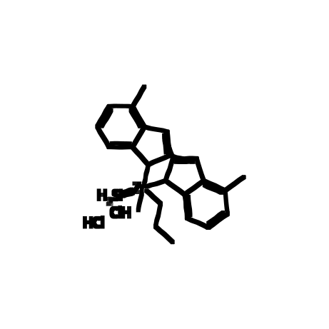 CC[CH2][Zr]([CH3])(=[SiH2])([CH]1C(C)=Cc2c(C)cccc21)[CH]1C(C)=Cc2c(C)cccc21.Cl.Cl